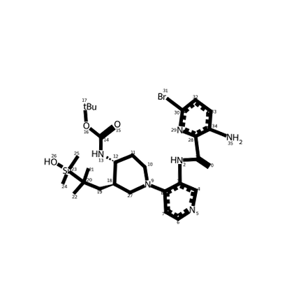 C=C(Nc1cnccc1N1CC[C@@H](NC(=O)OC(C)(C)C)[C@H](CC(C)(C)[Si](C)(C)O)C1)c1nc(Br)ccc1N